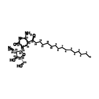 CCCCCCCCCCCCCCCC(=O)c1cn([C@@H]2O[C@H](CO)[C@@H](O)[C@@H]2C#N)c(=O)nc1N